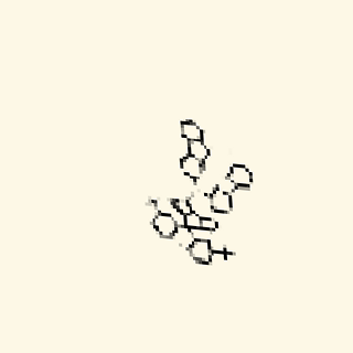 CC(C)(C)c1ccc2c(c1)C1(c3cc(C(C)(C)C)ccc3O2)c2ccccc2-c2c(N(c3ccc4c(c3)C(C)(C)c3ccccc3-4)c3cccc4c3sc3ccccc34)cccc21